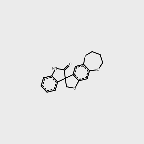 O=C1Nc2ccccc2C12COc1cc3c(cc12)OCCCO3